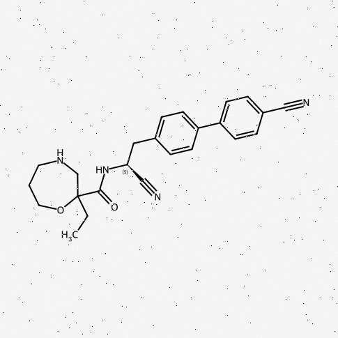 CCC1(C(=O)N[C@H](C#N)Cc2ccc(-c3ccc(C#N)cc3)cc2)CNCCCO1